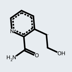 NC(=O)c1ncccc1[CH]CO